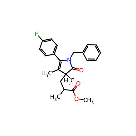 COC(=O)C(C)CC1(C)C(=O)N(Cc2ccccc2)C(c2ccc(F)cc2)=C1C